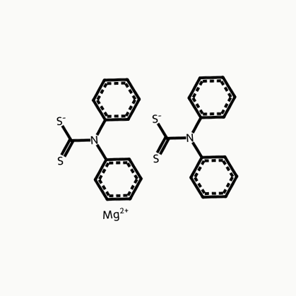 S=C([S-])N(c1ccccc1)c1ccccc1.S=C([S-])N(c1ccccc1)c1ccccc1.[Mg+2]